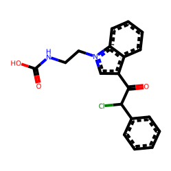 O=C(O)NCCn1cc(C(=O)C(Cl)c2ccccc2)c2ccccc21